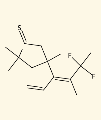 C=C/C(=C(\C)C(C)(F)F)C(C)(CC=S)CC(C)(C)C